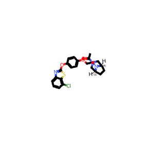 CC(=O)N1C[C@H]2CC[C@@H](C1)N2CCOc1ccc(Oc2nc3cccc(Cl)c3s2)cc1